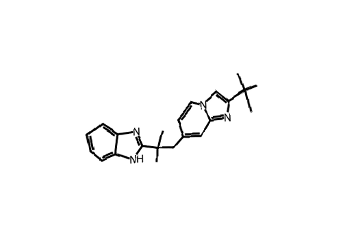 CC(C)(C)c1cn2ccc(CC(C)(C)c3nc4ccccc4[nH]3)cc2n1